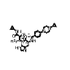 CCC[C@H](NC(=O)[C@H](Cc1nc[nH]n1)N[C@@H](c1ccc(N2CCN(C3CC3)CC2)cc1)C(F)(F)F)C(=O)C(=O)NC1CC1